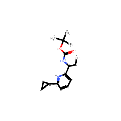 CCC(NC(=O)OC(C)(C)C)c1cccc(C2CC2)n1